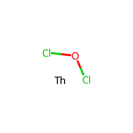 ClOCl.[Th]